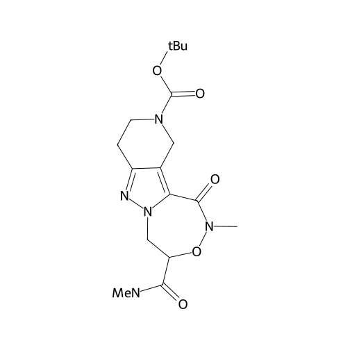 CNC(=O)C1Cn2nc3c(c2C(=O)N(C)O1)CN(C(=O)OC(C)(C)C)CC3